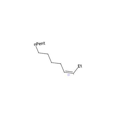 CC/[C]=C\CCCCCCCCC